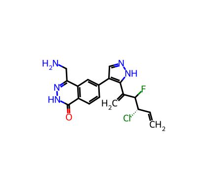 C=C[C@H](Cl)C(F)C(=C)c1[nH]ncc1-c1ccc2c(=O)[nH]nc(CN)c2c1